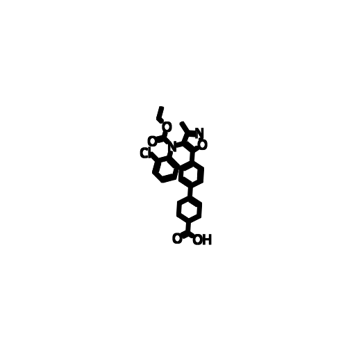 CCOC(=O)N(c1ccccc1Cl)c1c(C)noc1-c1ccc(C2=CCC(C(=O)O)CC2)cc1